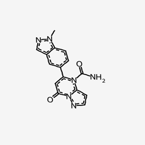 Cn1ncc2cc(-c3cc(=O)n4nccc4n3C(N)=O)ccc21